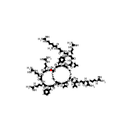 CC(C)C[C@@H](NC(=O)[C@@H](CCCNC(=N)N)NC(=O)CNC(=O)CNC(=O)[C@H](N)CCCNC(=N)N)C(=O)N[C@@H]1CSSC[C@H](C(=O)N[C@@H](C(=O)NCC(=O)N[C@H](CCCNC(=N)N)C(N)=O)C(C)C)NC(=O)[C@@H](C(C)C)NC(=O)[C@H]2CSSC[C@@H](NC(=O)[C@@H](Cc3ccc(O)cc3)NC1=O)C(=O)N[C@H](CCCNC(=N)N)C(=O)N[C@H](CCCNC(=N)N)C(=O)N[C@H](CCCNC(=N)N)C(=O)N[C@H](Cc1ccccc1)C(=O)N2